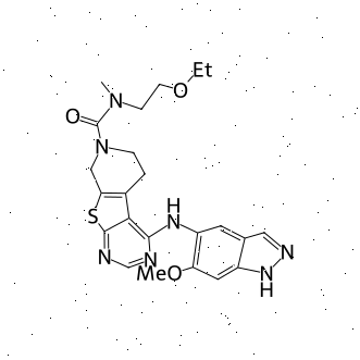 CCOCCN(C)C(=O)N1CCc2c(sc3ncnc(Nc4cc5cn[nH]c5cc4OC)c23)C1